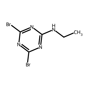 CCNc1nc(Br)nc(Br)n1